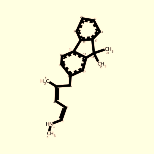 CN/C=C\C=C(\C)Cc1ccc2c(c1)C(C)(C)c1ccccc1-2